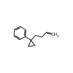 C=CCCC1(c2ccccc2)CC1